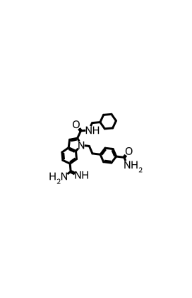 N=C(N)c1ccc2cc(C(=O)NCC3CCCCC3)n(CCc3ccc(C(N)=O)cc3)c2c1